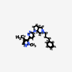 Cc1cnn(C)c1-c1ccc(N2CCC3CN(CCCc4ccccc4)CC32)nn1